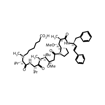 CC[C@H](C)[C@@H]([C@@H](CC(=O)N1CCC[C@H]1[C@H](OC)[C@@H](C)C(=O)N[C@H](C=Cc1ccccc1)Cc1ccccc1)OC)N(C)C(=O)[C@@H](NC(=O)[C@H](C(C)C)N(C)CCCCCC(=O)O)C(C)C